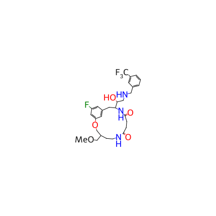 COCC1CCNC(=O)CCC(=O)NC(C(O)CNCc2cccc(C(F)(F)F)c2)Cc2cc(F)cc(c2)OC1